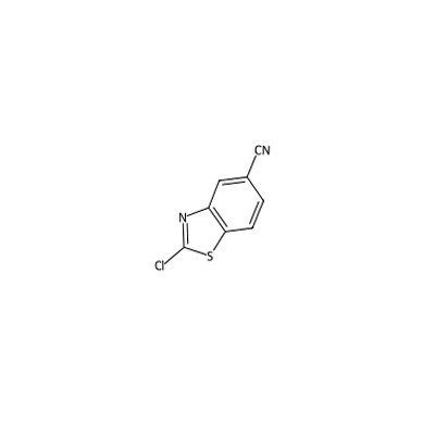 N#Cc1ccc2sc(Cl)nc2c1